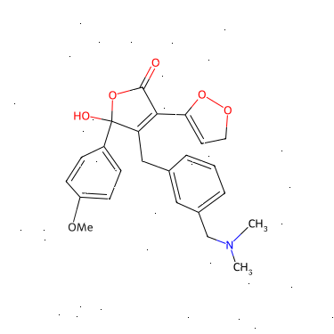 COc1ccc(C2(O)OC(=O)C(C3=CCOO3)=C2Cc2cccc(CN(C)C)c2)cc1